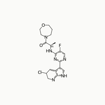 C[C@@H](Nc1nc(-c2c[nH]c3c2=CC(Cl)CN=3)ncc1F)C(=O)N1CCCOCC1